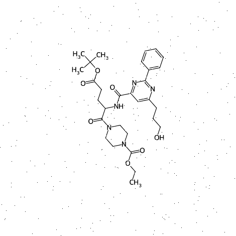 CCOC(=O)N1CCN(C(=O)C(CCC(=O)OC(C)(C)C)NC(=O)c2cc(CCCO)nc(-c3ccccc3)n2)CC1